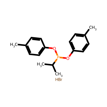 Br.Cc1ccc(OP(Oc2ccc(C)cc2)C(C)C)cc1